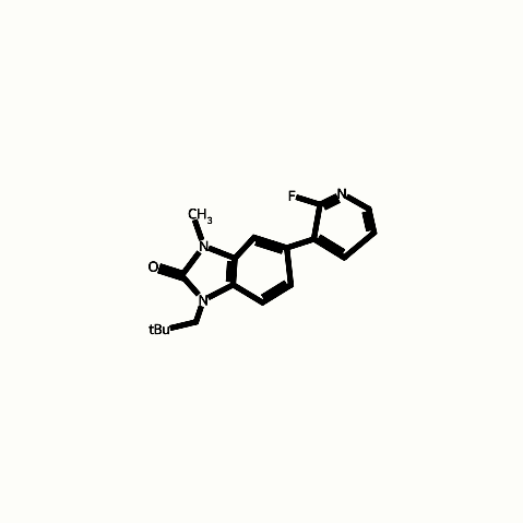 Cn1c(=O)n(CC(C)(C)C)c2ccc(-c3cccnc3F)cc21